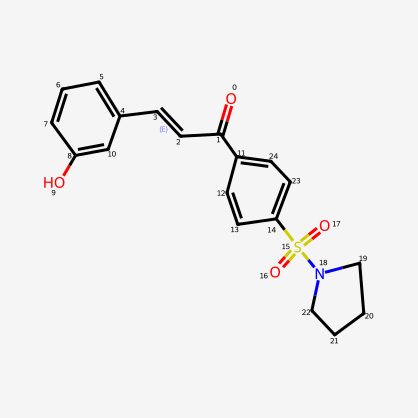 O=C(/C=C/c1cccc(O)c1)c1ccc(S(=O)(=O)N2CCCC2)cc1